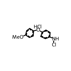 COc1ccc(Oc2ccc(NCl)cc2)cc1.Cl